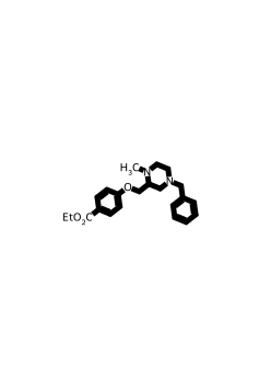 CCOC(=O)c1ccc(OCC2CN(Cc3ccccc3)CCN2C)cc1